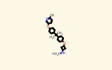 CC(C)(c1ccc(Oc2ccc(C#N)nc2)cc1)c1ccc(OC2CC(NC(=O)O)C2)cc1